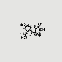 [2H]C([2H])(O)c1cc(Br)cc2c1OC(C(F)(F)F)C(C(=O)O)=C2